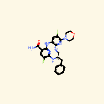 NC[C@@H](Cc1ccccc1)Nc1nc(Nc2cnc(N3CCOCC3)c(F)c2)c(C(N)=O)cc1F